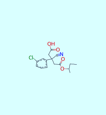 CCC(C)OC(=O)CC(C#N)(CC(=O)O)c1cccc(Cl)c1